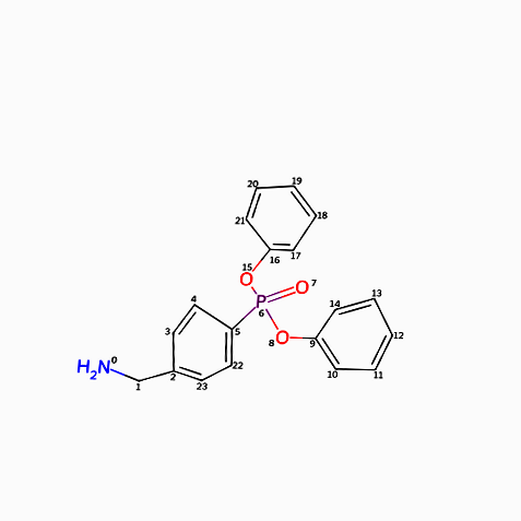 NCc1ccc(P(=O)(Oc2ccccc2)Oc2ccccc2)cc1